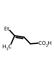 CCC(C)=CCC(=O)O